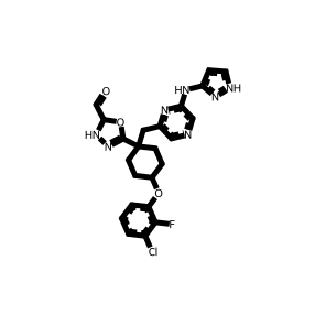 O=CC1NN=C(C2(Cc3cncc(Nc4cc[nH]n4)n3)CCC(Oc3cccc(Cl)c3F)CC2)O1